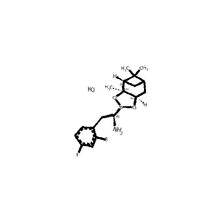 CC1(C)C2C[C@H]3OB([C@@H](N)Cc4ccc(F)cc4F)O[C@@]3(C)[C@H]1C2.Cl